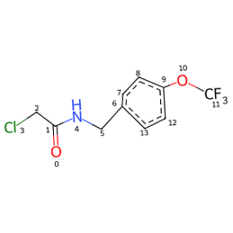 O=C(CCl)NCc1ccc(OC(F)(F)F)cc1